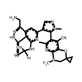 [2H]C([2H])([2H])Nc1nc(-c2cnn(C)c2-c2c(C)nc3c(c2C#N)OC2(CC2)CN3C(F)(F)F)cc2c1C(=C=O)NN=C2CN